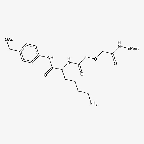 CCCCCNC(=O)COCC(=O)NC(CCCCN)C(=O)Nc1ccc(COC(C)=O)cc1